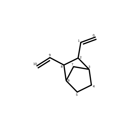 C=CC1C2CCC(C2)C1C=C